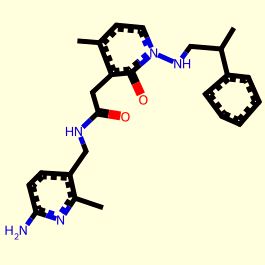 Cc1ccn(NCC(C)c2ccccc2)c(=O)c1CC(=O)NCc1ccc(N)nc1C